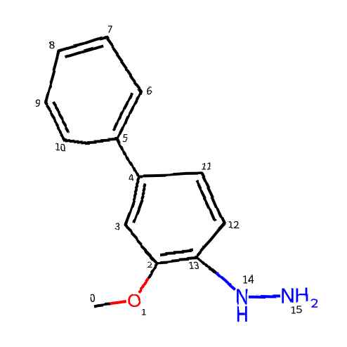 COc1cc(-c2ccccc2)ccc1NN